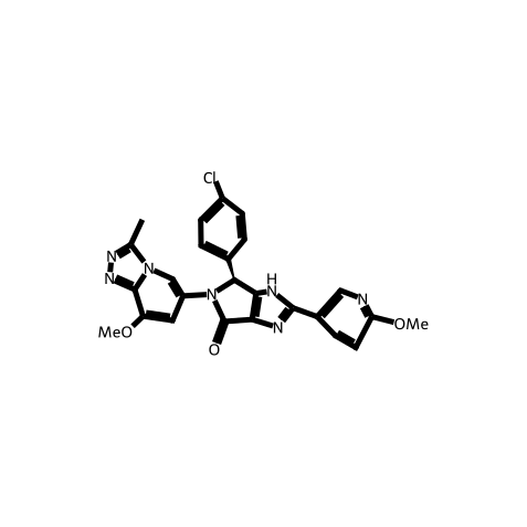 COc1ccc(-c2nc3c([nH]2)[C@H](c2ccc(Cl)cc2)N(c2cc(OC)c4nnc(C)n4c2)C3=O)cn1